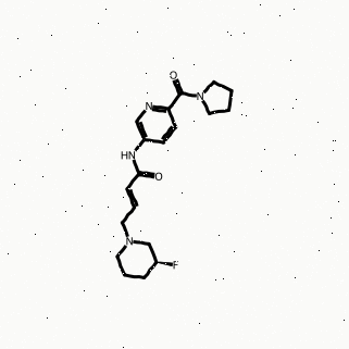 O=C(/C=C/CN1CCC[C@H](F)C1)Nc1ccc(C(=O)N2CCCC2)nc1